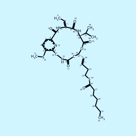 C/C=C1\NC(=O)c2ccc(SC)c(n2)CNC(=O)C[C@@H](/C=C/CCSC(=O)CCCCCC)OC(=O)[C@H](C(C)C)NC1=O